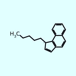 CCCCC[C]1C=Cc2ccc3ccccc3c21